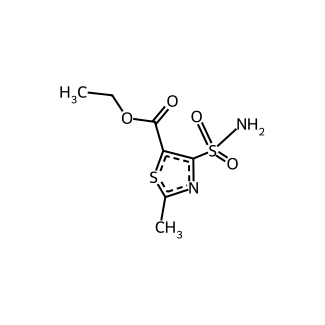 CCOC(=O)c1sc(C)nc1S(N)(=O)=O